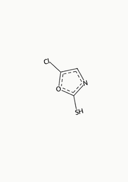 Sc1ncc(Cl)o1